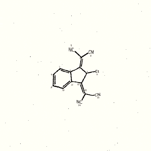 CCC1C(=C(C#N)C#N)c2ccccc2C1=C(C#N)C#N